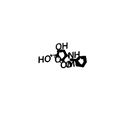 CO[C@H]1O[C@H](CO)[C@@H](O)C[C@H]1NC(=O)c1ccccc1